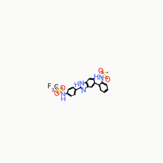 CS(=O)(=O)Nc1ccccc1-c1ccc2[nH]c(-c3ccc(NS(=O)(=O)C(F)(F)F)cc3)nc2c1